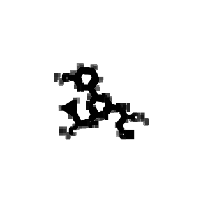 C[C@H](CO)Nc1nc(N[C@H](C)C2CC2)nc(-c2cccc(C(F)(F)F)n2)n1